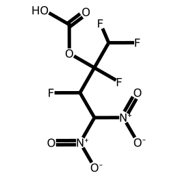 O=C(O)OC(F)(C(F)F)C(F)C([N+](=O)[O-])[N+](=O)[O-]